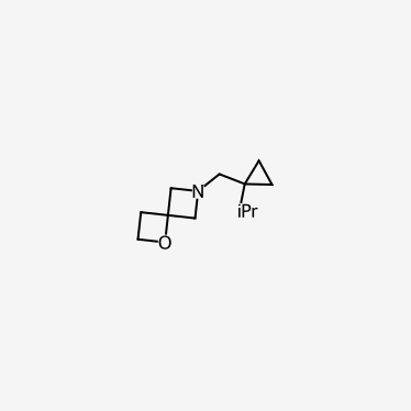 CC(C)C1(CN2CC3(CCO3)C2)CC1